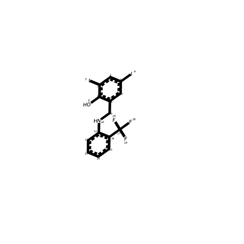 Oc1c(I)cc(I)cc1CNc1ccccc1C(F)(F)F